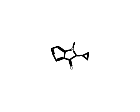 CN1c2ccccc2C(=O)C1C1CC1